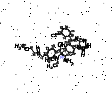 C=CN(C)/C(=C\N)C(O)(c1ccc(CNCCOC)cc1)c1ccc2c(c1)C(c1cccc(Cl)c1)=NC1=NNNN12